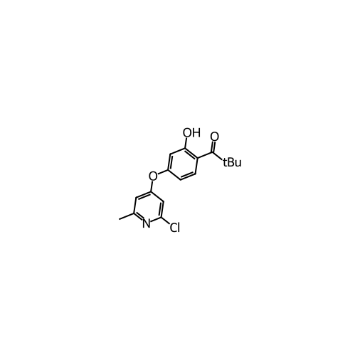 Cc1cc(Oc2ccc(C(=O)C(C)(C)C)c(O)c2)cc(Cl)n1